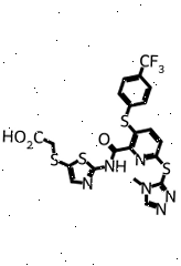 Cn1cnnc1Sc1ccc(Sc2ccc(C(F)(F)F)cc2)c(C(=O)Nc2ncc(SCC(=O)O)s2)n1